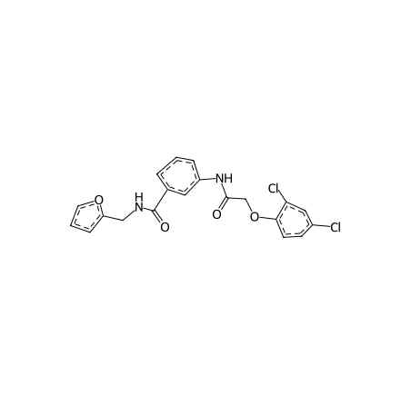 O=C(COc1ccc(Cl)cc1Cl)Nc1cccc(C(=O)NCc2ccco2)c1